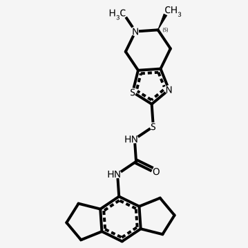 C[C@H]1Cc2nc(SNC(=O)Nc3c4c(cc5c3CCC5)CCC4)sc2CN1C